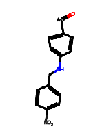 O=[As]c1ccc(NCc2ccc([N+](=O)[O-])cc2)cc1